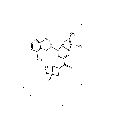 Cc1cccc(C)c1CNc1cc(C(=O)N2CC(C)(CO)C2)cn2c(C)c(C)nc12